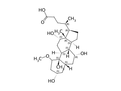 COC1C[C@@H](O)C[C@H]2C[C@@H](O)[C@@H]3[C@H](C[C@H](O)[C@]4(C)[C@@H]([C@H](C)CCC(=O)O)CC[C@@H]34)[C@@]12C